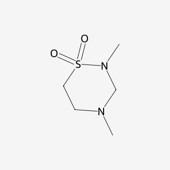 CN1CCS(=O)(=O)N(C)C1